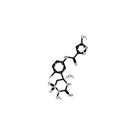 Cc1cc(C(=O)Nc2ccc(F)c([C@]3(C)CS(=O)(=O)N(C)C(=N)N3)c2)on1